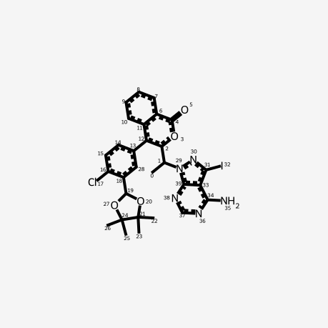 CC(c1oc(=O)c2ccccc2c1-c1ccc(Cl)c(C2OC(C)(C)C(C)(C)O2)c1)n1nc(I)c2c(N)ncnc21